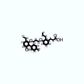 CCCc1c(CCC(=O)O)cccc1OCCCOc1c(CC)ccc(O)c1-c1ccc(F)cc1